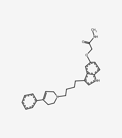 CNC(=O)COc1ccc2[nH]cc(CCCCN3CC=C(c4ccccc4)CC3)c2c1